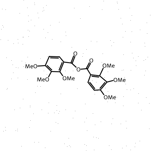 COc1ccc(C(=O)OC(=O)c2ccc(OC)c(OC)c2OC)c(OC)c1OC